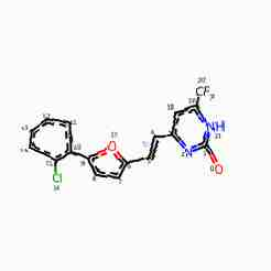 O=c1nc(/C=C/c2ccc(-c3ccccc3Cl)o2)cc(C(F)(F)F)[nH]1